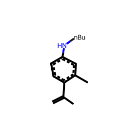 C=C(C)c1ccc(NCCCC)cc1C